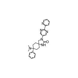 CN(C)C1(c2ccccc2)CCC2(CC1)CN(c1cnc(-c3ccccn3)nc1)C(=O)N2